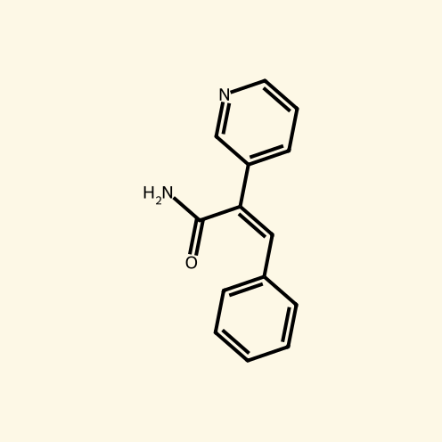 NC(=O)/C(=C\c1ccccc1)c1cccnc1